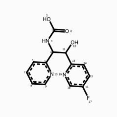 O=C(O)NC(c1ccccn1)C(O)c1ccc(F)cn1